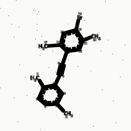 Cc1ccc(C)c(C#Cc2cc(C)c(Br)cc2C)c1